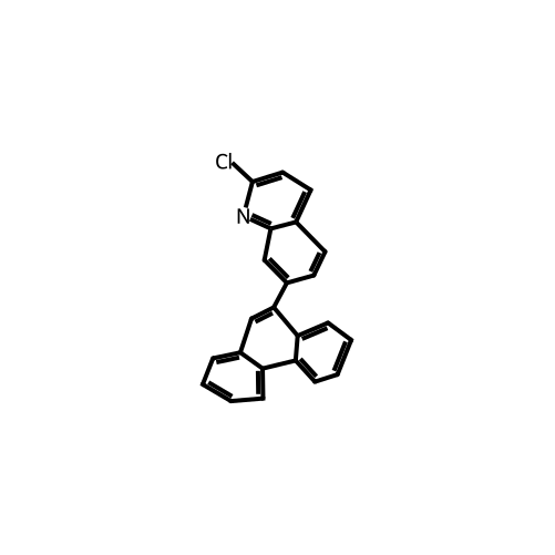 Clc1ccc2ccc(-c3cc4ccccc4c4ccccc34)cc2n1